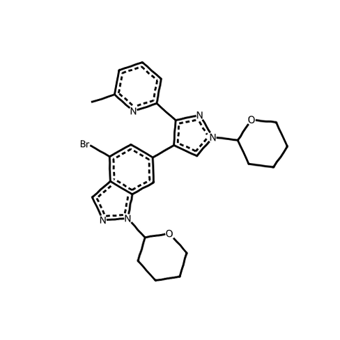 Cc1cccc(-c2nn(C3CCCCO3)cc2-c2cc(Br)c3cnn(C4CCCCO4)c3c2)n1